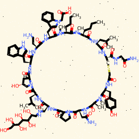 CCCC[C@H]1C(=O)N(C)[C@@H](CCCC)C(=O)N[C@@H](CC(C)C)C(=O)N[C@H](C(=O)NCC(N)=O)CSCC(=O)N[C@@H](Cc2ccc(O)cc2)C(=O)N(C)[C@@H](C)C(=O)N[C@@H](CC(N)=O)C(=O)N2CCC[C@H]2C(=O)N[C@@H](CNC[C@@H](O)[C@@H](O)[C@H](O)[C@H](O)C(O)CO)C(=O)N[C@@H](CC(C)C)C(=O)N2C[C@H](O)C[C@H]2C(=O)N[C@@H](Cc2c[nH]c3ccccc23)C(=O)N[C@@H](CCN)C(=O)N[C@@H](Cc2cn(CC(=O)O)c3ccccc23)C(=O)N1C